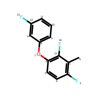 Cc1c(F)ccc(Oc2cccc(F)c2)c1F